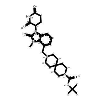 Cn1c(=O)n(C2CCC(=O)NC2=O)c2cccc(CN3CCC4(CC3)CCN(C(=O)OC(C)(C)C)CC4)c21